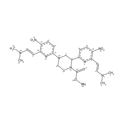 CN(C)/C=C/c1nc(C2CN(c3ccc([N+](=O)[O-])c(/C=C/N(C)C)n3)CCN2C(=O)OC(C)(C)C)ccc1[N+](=O)[O-]